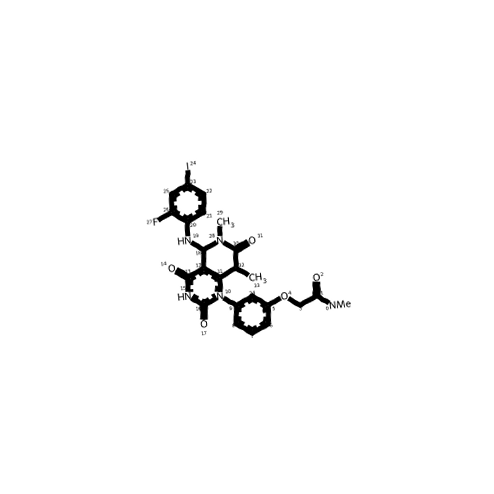 CNC(=O)COc1cccc(-n2c3c(c(=O)[nH]c2=O)C(Nc2ccc(I)cc2F)N(C)C(=O)C3C)c1